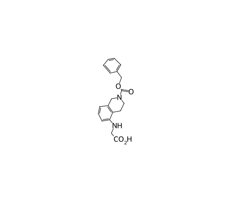 O=C(O)CNc1cccc2c1CCN(C(=O)OCc1ccccc1)C2